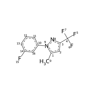 Cc1cc(C(F)(F)F)nn1-c1cc[c]c(F)c1